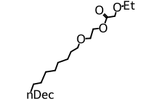 CCCCCCCCCCCCCCCCCCOCCOC(=O)COCC